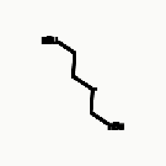 [CH2]CCCC[CH]CCCCCC